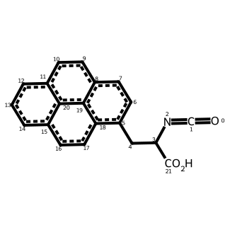 O=C=NC(Cc1ccc2ccc3cccc4ccc1c2c34)C(=O)O